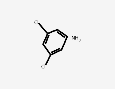 Clc1cccc(Cl)c1.N